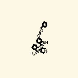 CN1CCC(C)(N(c2ccccc2C(N)=O)c2n[nH]c3cc(OCCOCc4ccccc4)ccc23)CC1